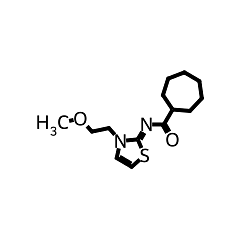 COCCn1ccs/c1=N\C(=O)C1CCCCCC1